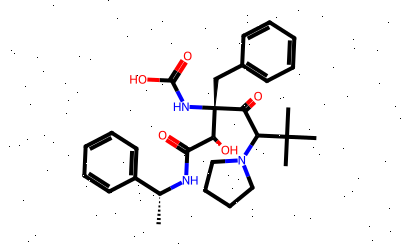 C[C@@H](NC(=O)C(O)[C@](Cc1ccccc1)(NC(=O)O)C(=O)C(N1CCCC1)C(C)(C)C)c1ccccc1